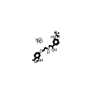 Cc1n[nH]c2cc(OCCNCC(O)c3cccc(NS(C)(=O)=O)c3)ccc12.Cl.Cl